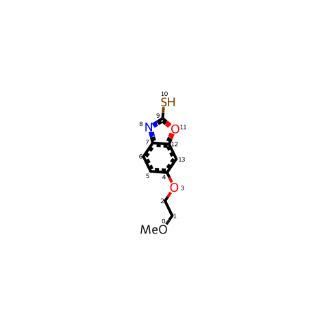 COCCOc1ccc2nc(S)oc2c1